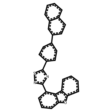 c1ccc2cc(-c3ccc(-c4nc(-c5cccc6oc7ccccc7c56)ns4)cc3)ccc2c1